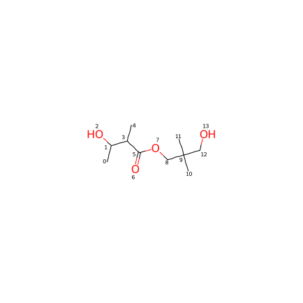 CC(O)C(C)C(=O)OCC(C)(C)CO